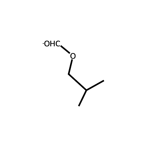 CC(C)CO[C]=O